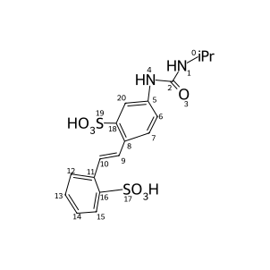 CC(C)NC(=O)Nc1ccc(C=Cc2ccccc2S(=O)(=O)O)c(S(=O)(=O)O)c1